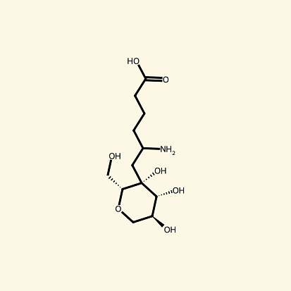 NC(CCCC(=O)O)C[C@@]1(O)[C@H](O)[C@@H](O)CO[C@@H]1CO